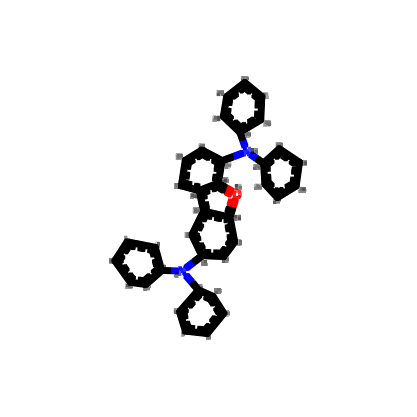 c1ccc(N(c2ccccc2)c2ccc3oc4c(N(c5ccccc5)c5ccccc5)cccc4c3c2)cc1